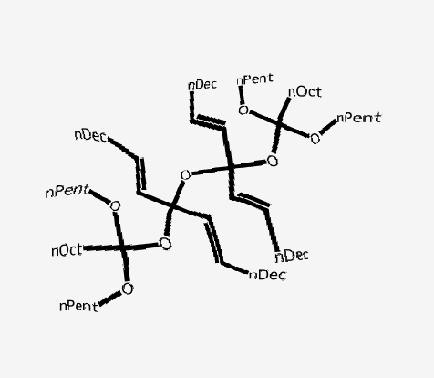 CCCCCCCCCCC=CC(C=CCCCCCCCCCC)(OC(C=CCCCCCCCCCC)(C=CCCCCCCCCCC)OC(CCCCCCCC)(OCCCCC)OCCCCC)OC(CCCCCCCC)(OCCCCC)OCCCCC